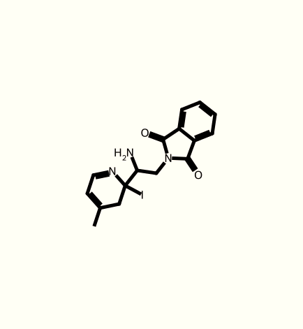 CC1=CC=NC(I)(C(N)CN2C(=O)c3ccccc3C2=O)C1